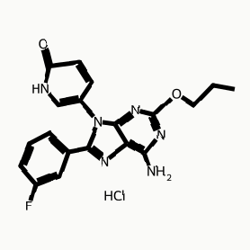 CCCOc1nc(N)c2nc(-c3cccc(F)c3)n(-c3ccc(=O)[nH]c3)c2n1.Cl